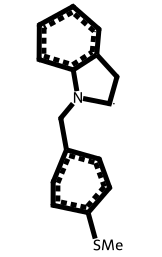 CSc1ccc(CN2[CH]Cc3ccccc32)cc1